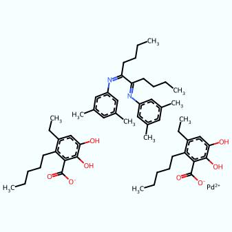 CCCCC(=Nc1cc(C)cc(C)c1)C(CCCC)=Nc1cc(C)cc(C)c1.CCCCCc1c(CC)cc(O)c(O)c1C(=O)[O-].CCCCCc1c(CC)cc(O)c(O)c1C(=O)[O-].[Pd+2]